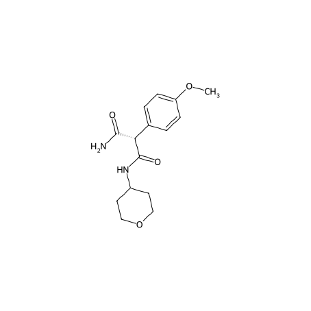 COc1ccc([C@@H](C(N)=O)C(=O)NC2CCOCC2)cc1